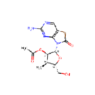 CC(=O)O[C@@H]1[C@H](C)[C@@H](CO)O[C@H]1n1c(=O)sc2cnc(N)nc21